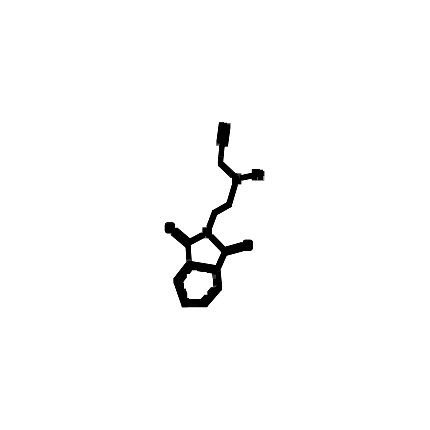 C#CCN(CC)CCN1C(=O)c2ccccc2C1=O